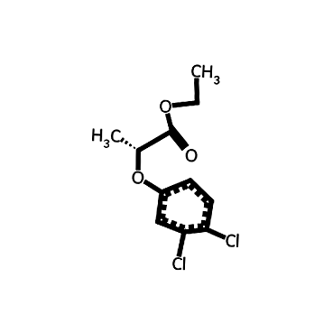 CCOC(=O)[C@@H](C)Oc1ccc(Cl)c(Cl)c1